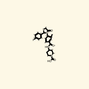 Cc1cc(C(=O)NC2CCN(C(=O)O)CC2)ccc1N1C(=O)CSC1c1ccc(F)cc1